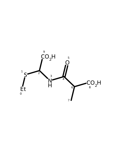 CCSC(NC(=O)C(C)C(=O)O)C(=O)O